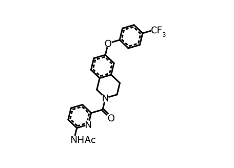 CC(=O)Nc1cccc(C(=O)N2CCc3cc(Oc4ccc(C(F)(F)F)cc4)ccc3C2)n1